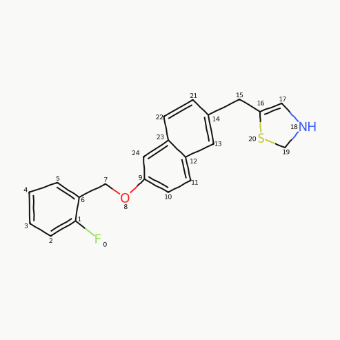 Fc1ccccc1COc1ccc2cc(CC3=CNCS3)ccc2c1